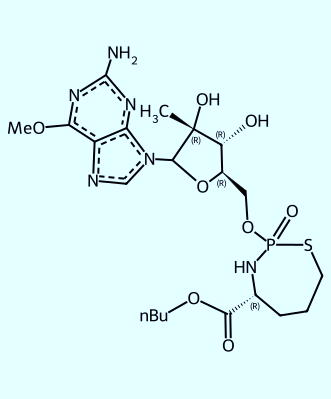 CCCCOC(=O)[C@H]1CCCSP(=O)(OC[C@H]2OC(n3cnc4c(OC)nc(N)nc43)[C@](C)(O)[C@@H]2O)N1